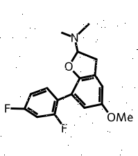 COc1cc2c(c(-c3ccc(F)cc3F)c1)OC(N(C)C)C2